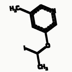 Cc1cncc(OC(C)I)c1